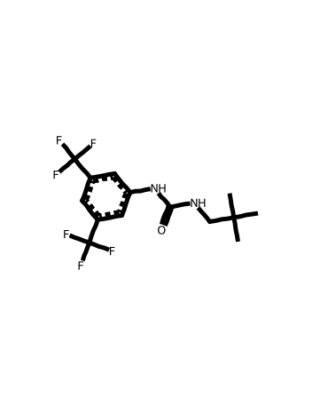 CC(C)(C)CNC(=O)Nc1cc(C(F)(F)F)cc(C(F)(F)F)c1